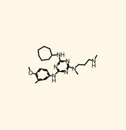 CNCCCN(C)c1nc(Nc2ccc(OC)c(C)c2)nc(NC2CCCCCC2)n1